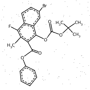 Cc1c(C(=O)Oc2ccccc2)c(OC(=O)OC(C)(C)C)c2cc(Br)ccc2c1F